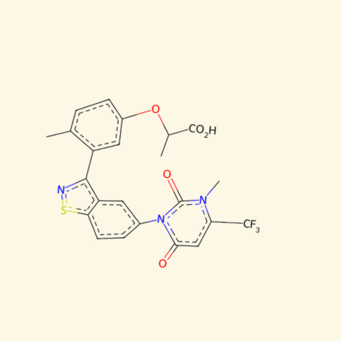 Cc1ccc(OC(C)C(=O)O)cc1-c1nsc2ccc(-n3c(=O)cc(C(F)(F)F)n(C)c3=O)cc12